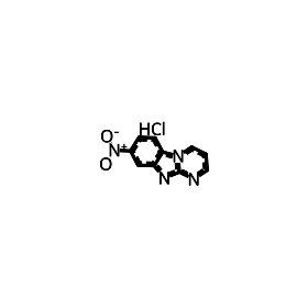 Cl.O=[N+]([O-])c1ccc2c(c1)nc1ncccn12